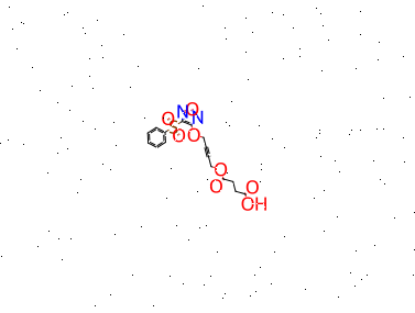 O=C(O)CCC(=O)OCC#CCOc1nonc1S(=O)(=O)c1ccccc1